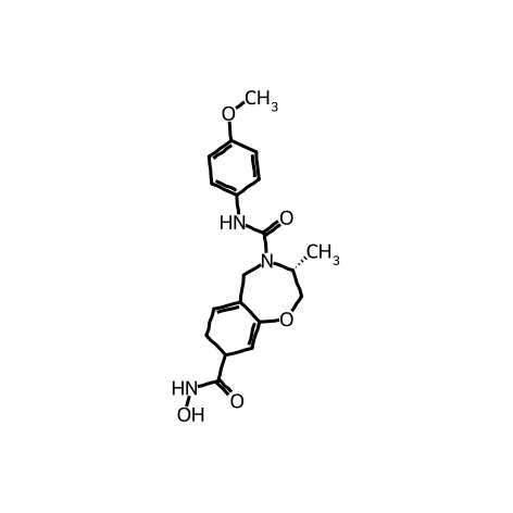 COc1ccc(NC(=O)N2CC3=CCC(C(=O)NO)C=C3OC[C@H]2C)cc1